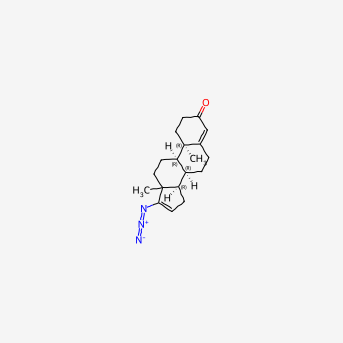 CC12CC[C@@H]3[C@@H](CCC4=CC(=O)CC[C@@]43C)[C@H]1CC=C2N=[N+]=[N-]